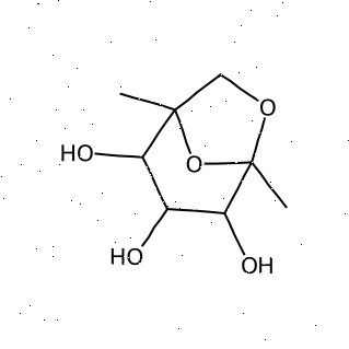 CC12COC(C)(O1)C(O)C(O)C2O